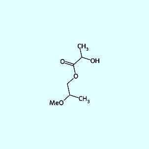 COC(C)COC(=O)C(C)O